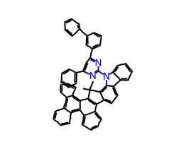 CC1(C)c2c(c3ccccc3c3c4ccccc4c4ccccc4c23)-c2ccc3c4ccccc4n(-c4nc(-c5ccccc5)cc(-c5cccc(-c6ccccc6)c5)n4)c3c21